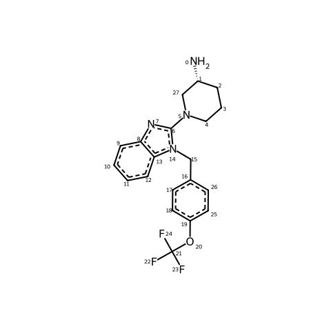 N[C@@H]1CCCN(c2nc3ccccc3n2Cc2ccc(OC(F)(F)F)cc2)C1